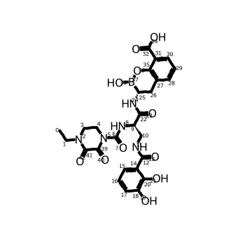 CCN1CCN(C(=O)N[C@H](CNC(=O)c2cccc(O)c2O)C(=O)N[C@H]2Cc3cccc(C(=O)O)c3OB2O)C(=O)C1=O